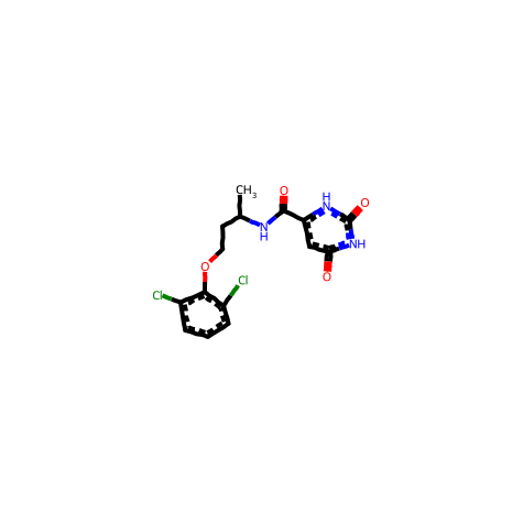 CC(CCOc1c(Cl)cccc1Cl)NC(=O)c1cc(=O)[nH]c(=O)[nH]1